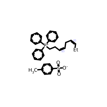 CC/C=C\C/C=C\CC[P+](c1ccccc1)(c1ccccc1)c1ccccc1.Cc1ccc(S(=O)(=O)[O-])cc1